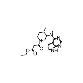 CCOC(=O)CC(=O)N1CC[C@@H](C)[C@@H](N(C)c2ncnc3[nH]ccc23)C1